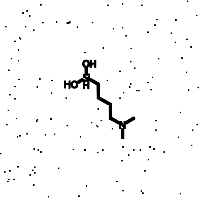 CN(C)CCCC[SiH](O)O